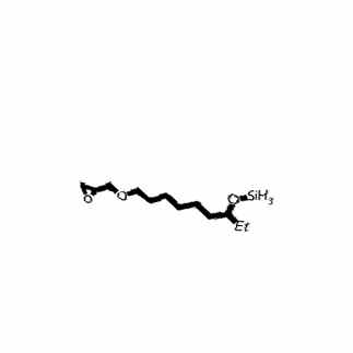 CCC(CCCCCCOCC1CO1)O[SiH3]